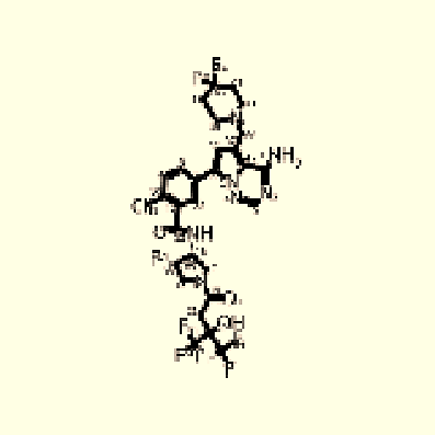 Nc1ncnn2c(-c3ccc(Cl)c(C(=O)N[C@@H]4CN(C(=O)CC(O)(C(F)(F)F)C(F)(F)F)C[C@@H]4F)c3)cc(CN3CCC(F)(F)CC3)c12